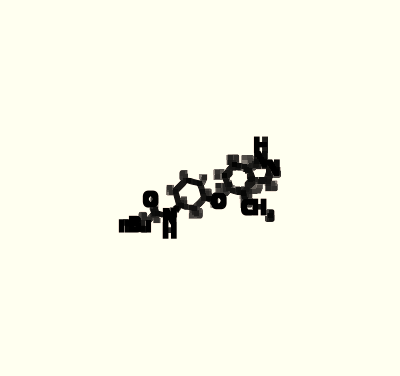 CCCCC(=O)N[C@H]1CCC[C@@H](Oc2ccc3[nH]ncc3c2C)C1